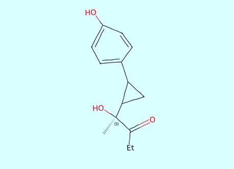 CCC(=O)[C@@](C)(O)C1CC1c1ccc(O)cc1